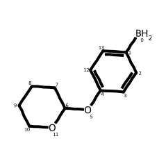 Bc1ccc(OC2CCCCO2)cc1